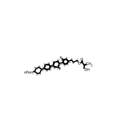 C=C(CO)C(=O)OCCCc1ccc(-c2ccc(-c3ccc(C4CCC(CCCCC)CC4)cc3)cc2F)c(F)c1